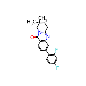 CC1(C)CCc2nc3cc(-c4ccc(F)cc4F)ccc3c(=O)n2C1